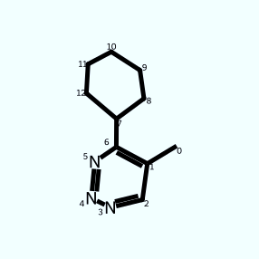 Cc1cnnnc1C1CCCCC1